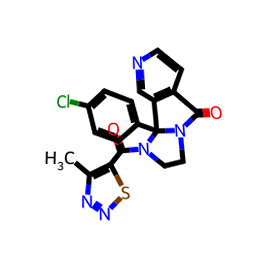 Cc1nnsc1C(=O)N1CCN2C(=O)c3ccncc3C21c1ccc(Cl)cc1